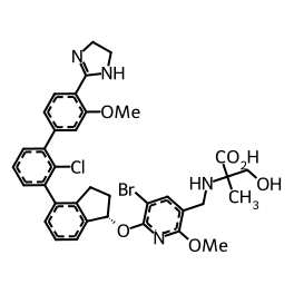 COc1cc(-c2cccc(-c3cccc4c3CC[C@@H]4Oc3nc(OC)c(CNC(C)(CO)C(=O)O)cc3Br)c2Cl)ccc1C1=NCCN1